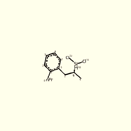 CCCc1ccccc1CC(C)[SiH](Cl)Cl